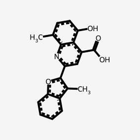 Cc1c(-c2cc(C(=O)O)c3c(O)ccc(C)c3n2)oc2ccccc12